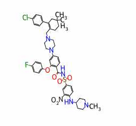 CN1CCC(Nc2ccc(S(=O)(=O)NC(=O)c3ccc(N4CCN(CC5=C(c6ccc(Cl)cc6)CC(C)(C)CC5)CC4)cc3Oc3ccc(F)cc3)cc2[N+](=O)[O-])CC1